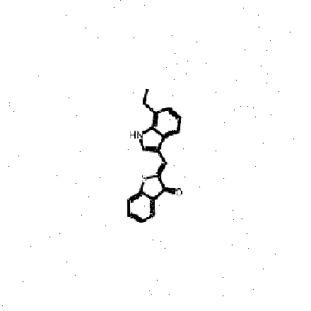 CCc1cccc2c(C=C3Sc4ccccc4C3=O)c[nH]c12